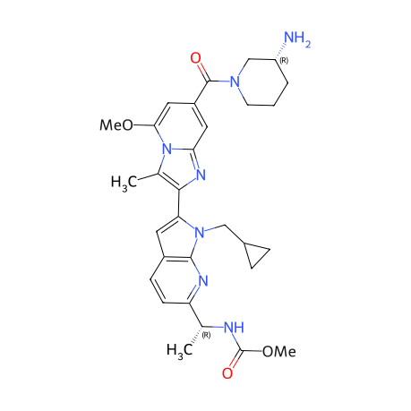 COC(=O)N[C@H](C)c1ccc2cc(-c3nc4cc(C(=O)N5CCC[C@@H](N)C5)cc(OC)n4c3C)n(CC3CC3)c2n1